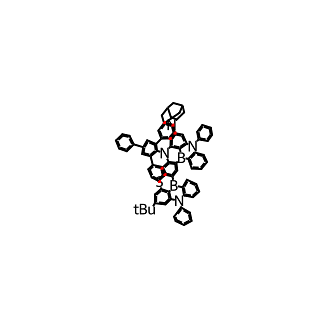 CC(C)(C)c1cc2c3c(c1)N(c1ccccc1)c1ccccc1B3c1cc3c(cc1S2)N(c1c(-c2ccccc2)cc(-c2ccccc2)cc1-c1ccccc1)c1cc(N2C4CC5CC(C4)CC2C5)cc2c1B3c1ccccc1N2c1ccccc1